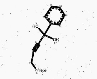 CCCCCCCCC#CC(O)(O)c1ccccc1